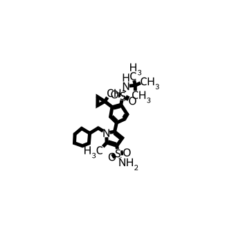 Cc1c(S(N)(=O)=O)cc(-c2ccc(S(=O)(=O)NC(C)(C)C)c(C3(C)CC3)c2)n1CC1CCCCC1